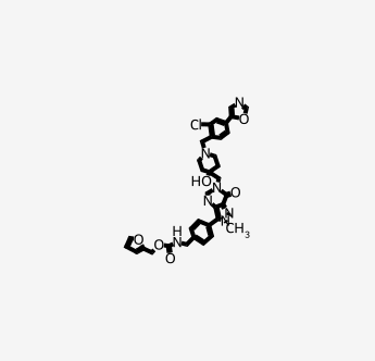 Cn1nc2c(=O)n(CC3(O)CCN(Cc4ccc(-c5cnco5)cc4Cl)CC3)cnc2c1-c1ccc(CNC(=O)OCc2ccco2)cc1